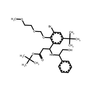 COCCOCOc1c(Br)cc(C(C)(C)C)cc1C(CC(=O)OC(C)(C)C)NC(CO)c1ccccc1